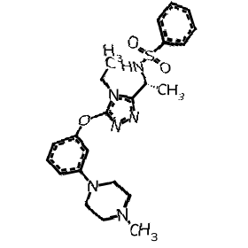 CCn1c(Oc2cccc(N3CCN(C)CC3)c2)nnc1[C@@H](C)NS(=O)(=O)c1ccccc1